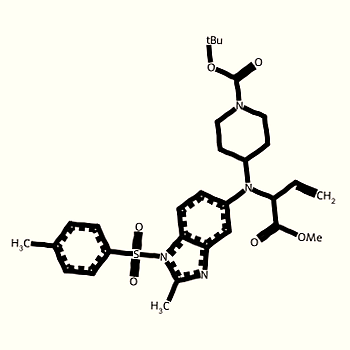 C=CC(C(=O)OC)N(c1ccc2c(c1)nc(C)n2S(=O)(=O)c1ccc(C)cc1)C1CCN(C(=O)OC(C)(C)C)CC1